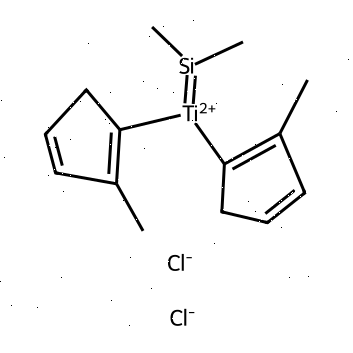 CC1=[C]([Ti+2]([C]2=C(C)C=CC2)=[Si](C)C)CC=C1.[Cl-].[Cl-]